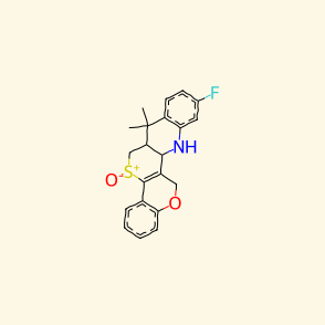 CC1(C)c2ccc(F)cc2NC2C3=C(c4ccccc4OC3)[S+]([O-])CC21